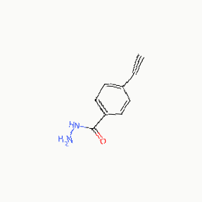 C#Cc1ccc(C(=O)NN)cc1